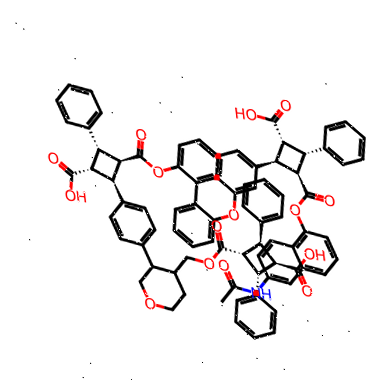 CC(=O)Nc1ccc2c(OC(=O)[C@@H]3[C@@H](c4ccccc4)[C@@H](C(=O)O)[C@@H]3c3cccc(Oc4ccccc4-c4ccccc4OC(=O)[C@@H]4[C@@H](c5ccccc5)[C@@H](C(=O)O)[C@@H]4c4ccc(C5COCCC5COC(=O)[C@H]5[C@@H](c6ccccc6)[C@H](C(=O)O)[C@@H]5c5ccccc5)cc4)c3)cccc2c1